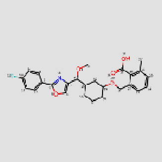 COC(c1coc(-c2ccc(F)cc2)n1)C1CCCC(OCc2cccc(C)c2C(=O)O)C1